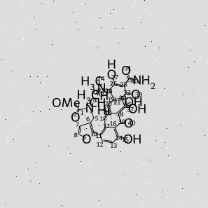 COC(=O)N(C)Cc1ccoc1-c1ccc(O)c2c1C[C@H]1C[C@H]3[C@H](N(C)C)C(O)=C(C(N)=O)C(=O)[C@@]3(O)C(O)=C1C2=O